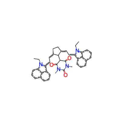 CCn1/c(=C\C=C2\CC/C(=C/C=c3/c4cccc5cccc(c54)n3CC)C2C2C(=O)N(C)C(=O)N(C)C2=O)c2cccc3cccc1c32